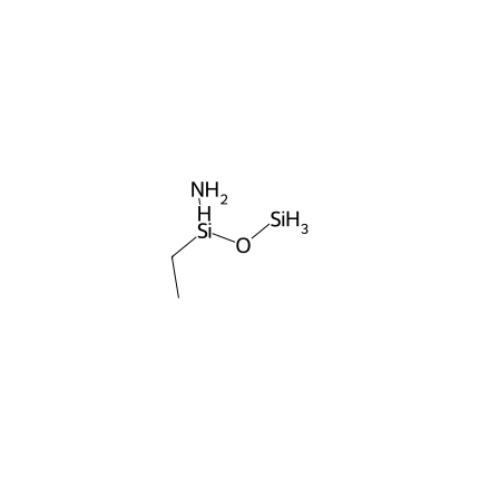 CC[SiH](N)O[SiH3]